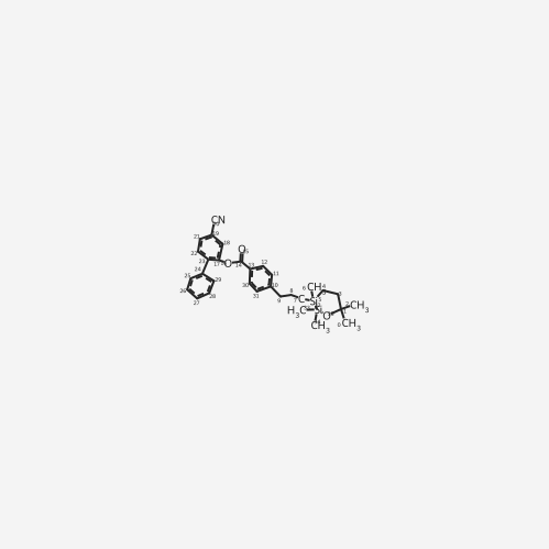 CC1(C)CC[Si](C)(CCCc2ccc(C(=O)Oc3cc(C#N)ccc3-c3ccccc3)cc2)[Si](C)(C)O1